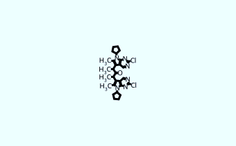 Cc1c(C(C)C(=O)C(C)c2c(C)n(C3CCCC3)c3nc(Cl)ncc23)c2cnc(Cl)nc2n1C1CCCC1